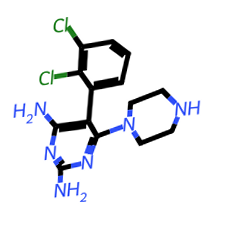 Nc1nc(N)c(-c2cccc(Cl)c2Cl)c(N2CCNCC2)n1